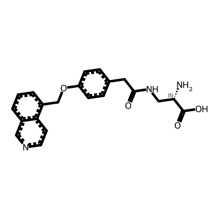 N[C@@H](CNC(=O)Cc1ccc(OCc2cccc3cnccc23)cc1)C(=O)O